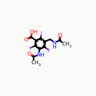 CC(=O)NCc1c(I)c(NC(C)=O)c(I)c(C(=O)O)c1I